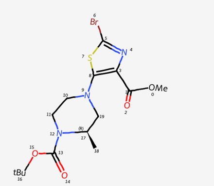 COC(=O)c1nc(Br)sc1N1CCN(C(=O)OC(C)(C)C)[C@H](C)C1